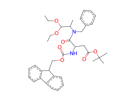 CCOC(OCC)C(C)N(Cc1ccccc1)C(=O)C(CC(=O)OC(C)(C)C)NC(=O)OCC1c2ccccc2-c2ccccc21